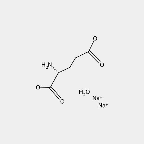 N[C@H](CCC(=O)[O-])C(=O)[O-].O.[Na+].[Na+]